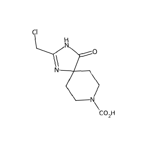 O=C(O)N1CCC2(CC1)N=C(CCl)NC2=O